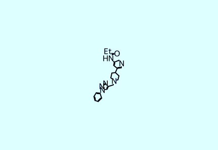 CCC(=O)Nc1cncc(C2CCN(Cc3cn(-c4ccccc4)nn3)CC2)c1